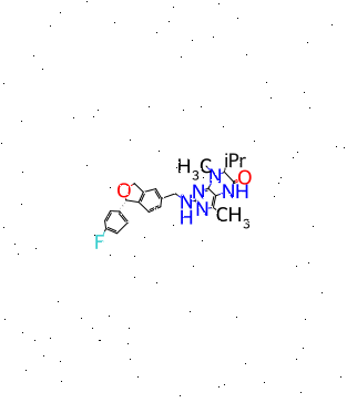 Cc1nc(NCc2ccc3c(c2)CO[C@H]3c2ccc(F)cc2)nc2c1NC(=O)C(C(C)C)N2C